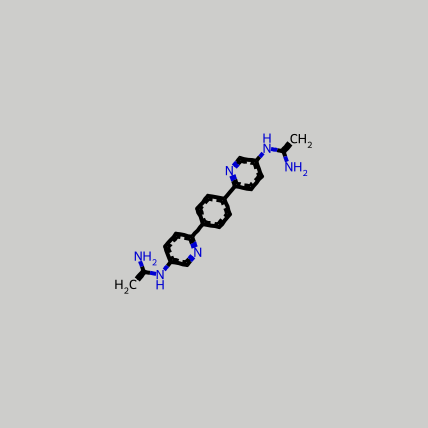 C=C(N)Nc1ccc(-c2ccc(-c3ccc(NC(=C)N)cn3)cc2)nc1